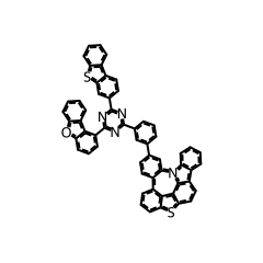 c1cc(-c2ccc3c4cccc5sc6ccc7c8ccccc8n(c3c2)c7c6c54)cc(-c2nc(-c3ccc4c(c3)sc3ccccc34)nc(-c3cccc4oc5ccccc5c34)n2)c1